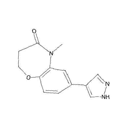 CN1C(=O)CCOc2ccc(-c3cn[nH]c3)cc21